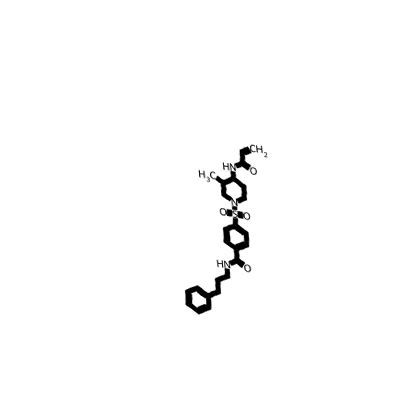 C=CC(=O)NC1CCN(S(=O)(=O)c2ccc(C(=O)NCCCc3ccccc3)cc2)CC1C